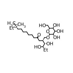 CC[C@@H](O)[C@@H](O)[C@H](COC1OC(CO)C(O)C(O)C1O)CC(=O)CCCCCCCS(C)(C)CC